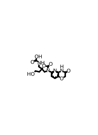 O=C(O)NCC1(CCO)CN(c2ccc3c(n2)NC(=O)CO3)C(=O)O1